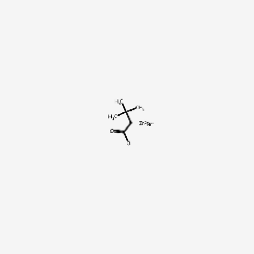 CC(C)(C)CC(=O)[O-].[Br-].[Zn+2]